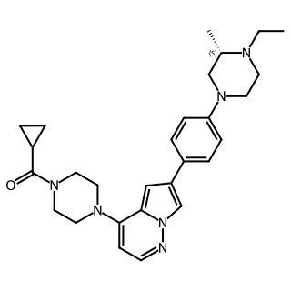 CCN1CCN(c2ccc(-c3cc4c(N5CCN(C(=O)C6CC6)CC5)ccnn4c3)cc2)C[C@@H]1C